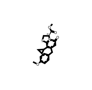 COC(=O)[C@@H]1CSc2c(C3CC3)c(Cc3ccc(OC)cc3)cc(=O)n21